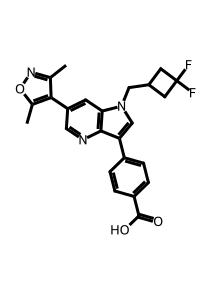 Cc1noc(C)c1-c1cnc2c(-c3ccc(C(=O)O)cc3)cn(CC3CC(F)(F)C3)c2c1